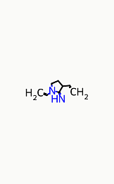 C=CC1CCN(C=C)C1=N